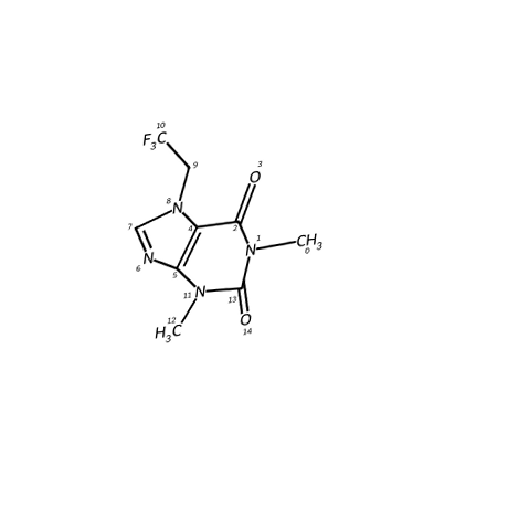 Cn1c(=O)c2c(ncn2CC(F)(F)F)n(C)c1=O